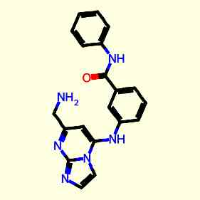 NCc1cc(Nc2cccc(C(=O)Nc3ccccc3)c2)n2ccnc2n1